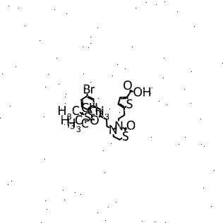 CC(C)(C)[Si](C)(C)OC(CCN1CCSC(=O)N1CCc1ccc(C(=O)O)s1)Cc1cccc(Br)c1